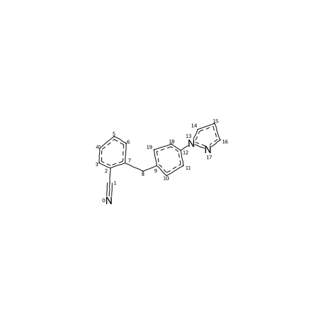 N#Cc1c[c]ccc1Cc1ccc(-n2cccn2)cc1